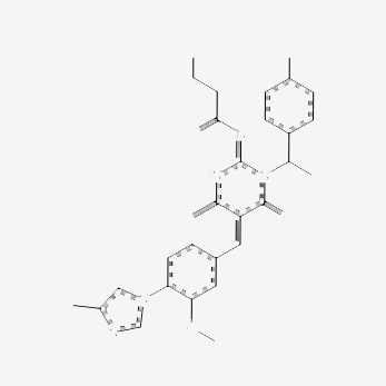 C=c1[nH]/c(=N\C(=O)CCCl)n(C(C)c2ccc(F)cc2)c(=O)/c1=C/c1ccc(-n2cnc(C)c2)c(OC)c1